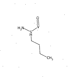 CCCC[SH](N)[V]=[O]